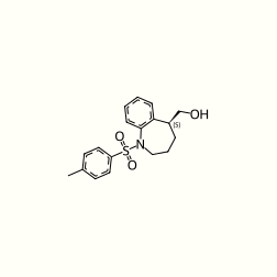 Cc1ccc(S(=O)(=O)N2CCC[C@H](CO)c3ccccc32)cc1